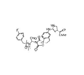 COC(=O)C1CNC(Nc2ccc3c(c2)CC[C@@]32OC(=O)N(C(C=O)N[C@@](C)(Cc3ccc(F)cc3)C(F)(F)F)C2=O)=N1